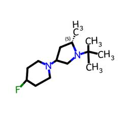 C[C@H]1CC(N2CCC(F)CC2)CN1C(C)(C)C